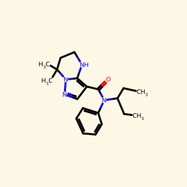 CCC(CC)N(C(=O)c1cnn2c1NCCC2(C)C)c1ccccc1